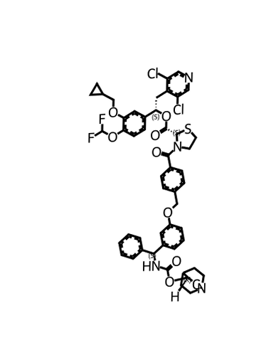 O=C(N[C@@H](c1ccccc1)c1cccc(OCc2ccc(C(=O)N3CCS[C@H]3C(=O)O[C@@H](Cc3c(Cl)cncc3Cl)c3ccc(OC(F)F)c(OCC4CC4)c3)cc2)c1)O[C@H]1CN2CCC1CC2